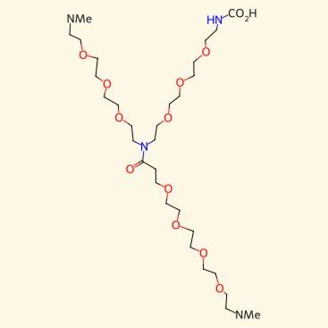 CNCCOCCOCCOCCOCCC(=O)N(CCOCCOCCOCCNC)CCOCCOCCOCCNC(=O)O